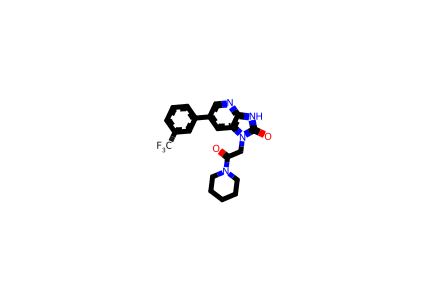 O=C(Cn1c(=O)[nH]c2ncc(-c3cccc(C(F)(F)F)c3)cc21)N1CCCCC1